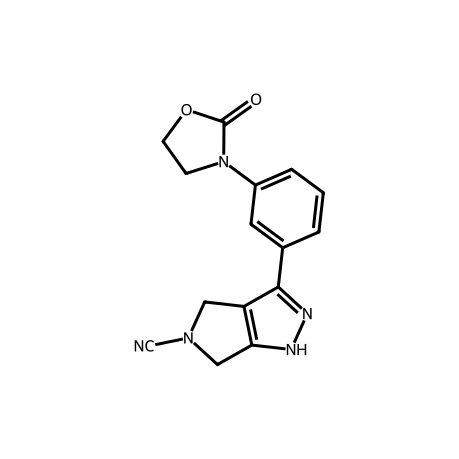 N#CN1Cc2[nH]nc(-c3cccc(N4CCOC4=O)c3)c2C1